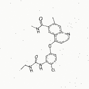 CCNC(=O)Nc1cc(Oc2ccnc3cc(C)c(C(=O)NC)cc23)ccc1Cl